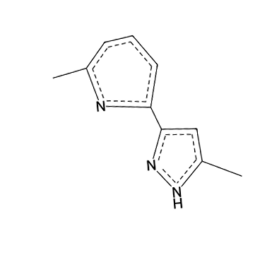 Cc1cccc(-c2cc(C)[nH]n2)n1